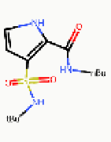 CCCCNC(=O)c1[nH]ccc1S(=O)(=O)NC(C)(C)C